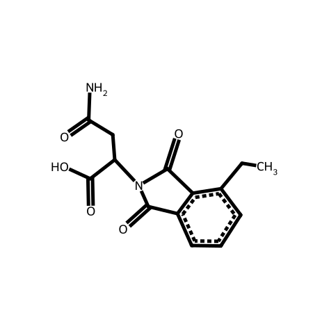 CCc1cccc2c1C(=O)N(C(CC(N)=O)C(=O)O)C2=O